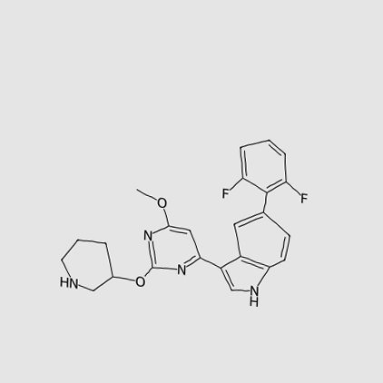 COc1cc(-c2c[nH]c3ccc(-c4c(F)cccc4F)cc23)nc(OC2CCCNC2)n1